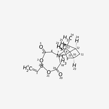 C=CB1OC(=O)CN([C@H]2C[C@@H]3C[C@H]([C@H]2C)C3(C)C)CC(=O)O1